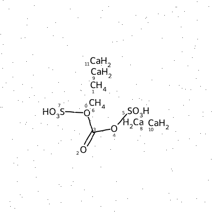 C.C.O=C(OS(=O)(=O)O)OS(=O)(=O)O.[CaH2].[CaH2].[CaH2].[CaH2]